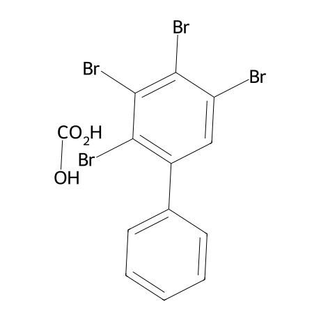 Brc1cc(-c2ccccc2)c(Br)c(Br)c1Br.O=C(O)O